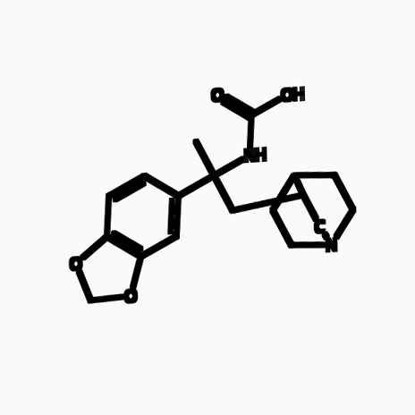 CC(CC1CN2CCC1CC2)(NC(=O)O)c1ccc2c(c1)OCO2